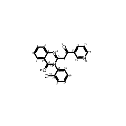 O=C(Cc1nc2ccccc2c(=O)n1-c1ccccc1Cl)c1cccnc1